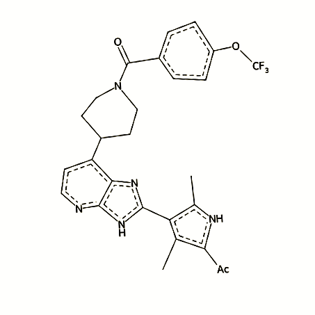 CC(=O)c1[nH]c(C)c(-c2nc3c(C4CCN(C(=O)c5ccc(OC(F)(F)F)cc5)CC4)ccnc3[nH]2)c1C